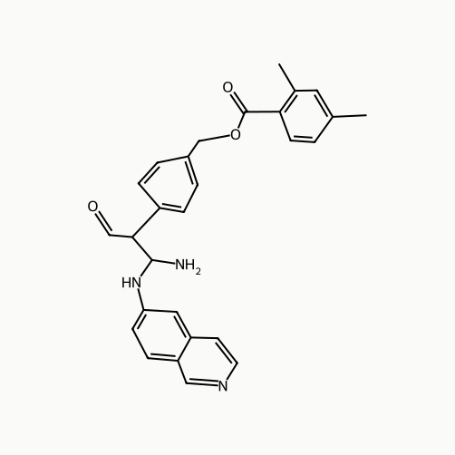 Cc1ccc(C(=O)OCc2ccc(C(C=O)C(N)Nc3ccc4cnccc4c3)cc2)c(C)c1